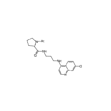 CC(=O)N1CCCC1C(=O)NCCCNc1ccnc2cc(Cl)ccc12